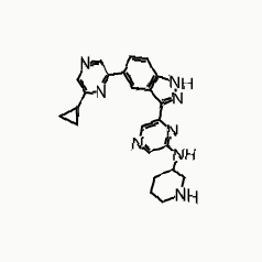 c1cc2[nH]nc(-c3cncc(NC4CCCNC4)n3)c2cc1-c1cncc(C2CC2)n1